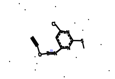 C#CO/B=N/c1cc(Cl)nc(SC)n1